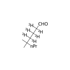 [2H]C([2H])(C=O)C([2H])([2H])C([2H])([2H])C(C)(C)CCC